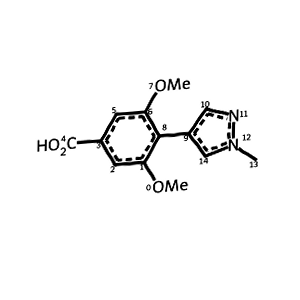 COc1cc(C(=O)O)cc(OC)c1-c1cnn(C)c1